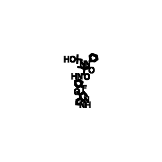 Cc1c(C(=O)Nc2ccc(Oc3ccnc4[nH]ccc34)c(F)c2)c(=O)n(-c2ccccc2)n1CC(C)(C)O